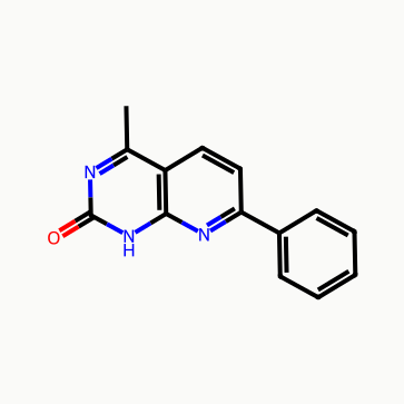 Cc1nc(=O)[nH]c2nc(-c3ccccc3)ccc12